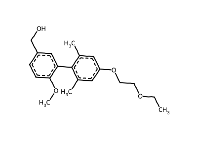 CCOCCOc1cc(C)c(-c2cc(CO)ccc2OC)c(C)c1